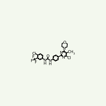 Cc1c(Cl)nc(-c2ccc(NC(=O)Nc3ccc(Cl)c(C(F)(F)F)c3)cc2)nc1N1CCOCC1